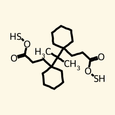 CC(C)(C1(CCC(=O)OS)CCCCC1)C1(CCC(=O)OS)CCCCC1